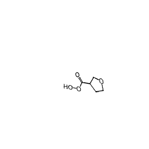 O=C(OO)C1CCOC1